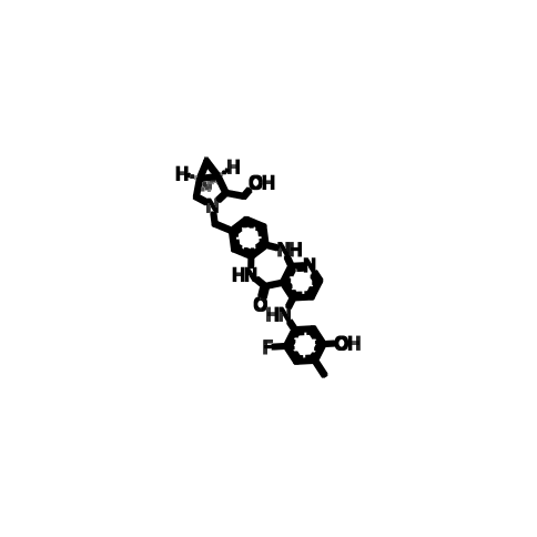 Cc1cc(F)c(Nc2ccnc3c2C(=O)Nc2cc(CN4C[C@H]5C[C@H]5C4CO)ccc2N3)cc1O